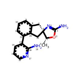 C[C@H]1OC(N)=N[C@@]12Cc1cccc(-c3cccnc3N)c1C2